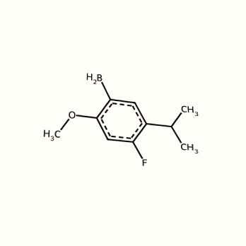 Bc1cc(C(C)C)c(F)cc1OC